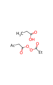 CCC(=O)O.CCC(=O)OOC(=O)CC(C)=O